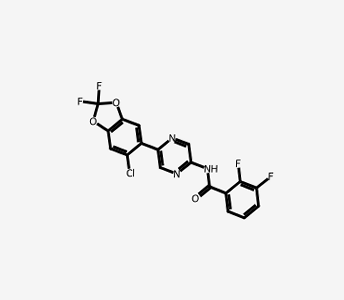 O=C(Nc1cnc(-c2cc3c(cc2Cl)OC(F)(F)O3)cn1)c1cccc(F)c1F